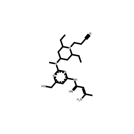 CCC1CC(N(C)c2nc(CO)cc(NC(=N)/C=C(/C)N)n2)CC(CC)N1CCC#N